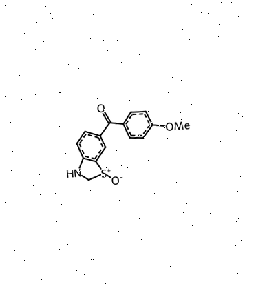 COc1ccc(C(=O)c2ccc3c(c2)[S+]([O-])CN3)cc1